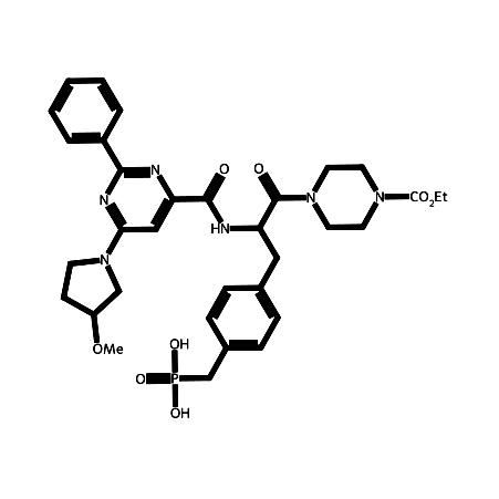 CCOC(=O)N1CCN(C(=O)C(Cc2ccc(CP(=O)(O)O)cc2)NC(=O)c2cc(N3CCC(OC)C3)nc(-c3ccccc3)n2)CC1